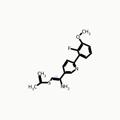 C=C(C)S/C=C(\N)c1ccc(-c2cccc(OC)c2F)nc1